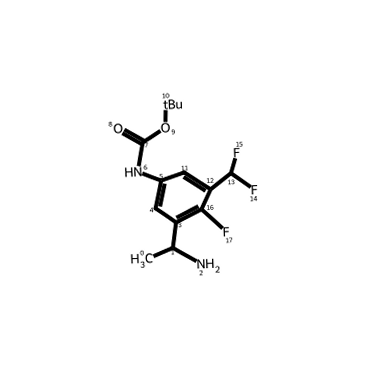 CC(N)c1cc(NC(=O)OC(C)(C)C)cc(C(F)F)c1F